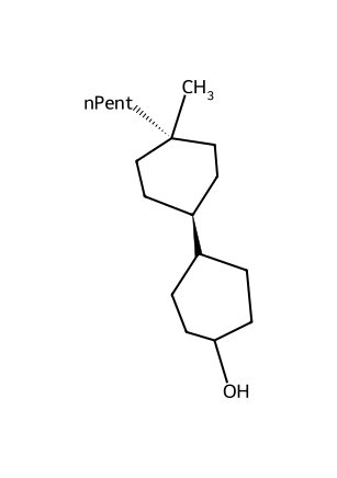 CCCCC[C@]1(C)CC[C@@H](C2CCC(O)CC2)CC1